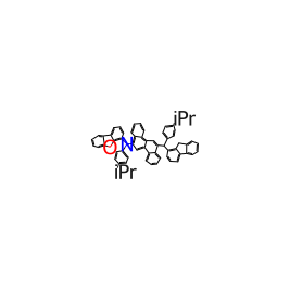 CC(C)c1ccc(C(c2cccc3c2Cc2ccccc2-3)c2cc3c4ccccc4c(N(c4ccc(C(C)C)cc4)c4cccc5c4oc4ccccc45)cc3c3ccccc23)cc1